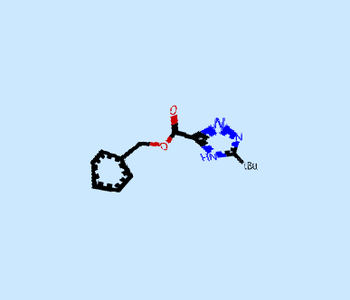 CC(C)(C)c1nnc(C(=O)OCc2ccccc2)[nH]1